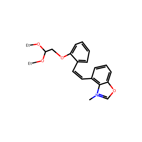 CCOC(COc1ccccc1/C=C\c1cccc2oc[n+](C)c12)OCC